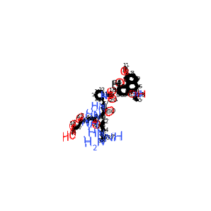 CCN(C)[C@@H]1Cc2ccc(OC)c3c2C2[C@@H](O3)C(OC(=O)N3CCCC[C@@H]3CNC(=O)[C@H](CCCNC(=N)N)NC(=O)CNC(=O)CC(=O)O)=CC[C@]21O